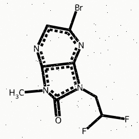 Cn1c(=O)n(CC(F)F)c2nc(Br)cnc21